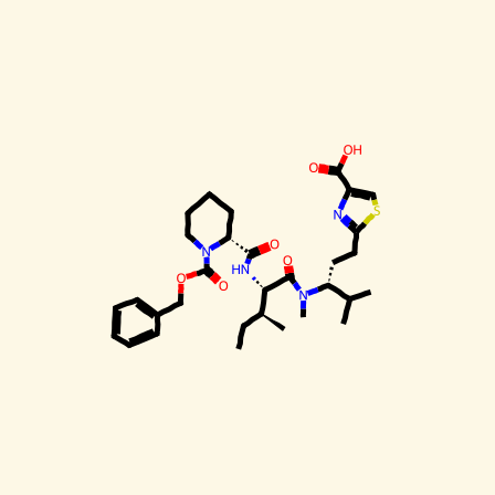 CC[C@H](C)[C@H](NC(=O)[C@H]1CCCCN1C(=O)OCc1ccccc1)C(=O)N(C)[C@H](CCc1nc(C(=O)O)cs1)C(C)C